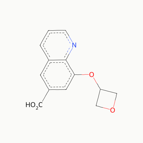 O=C(O)c1cc(OC2COC2)c2ncccc2c1